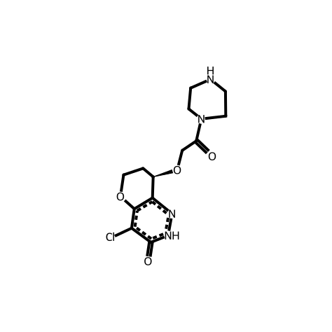 O=C(CO[C@@H]1CCOc2c1n[nH]c(=O)c2Cl)N1CCNCC1